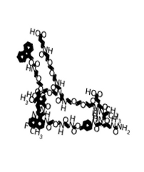 CC[C@@]1(O)C(=O)OCc2c1cc1n(c2=O)Cc2c-1nc1cc(F)c(C)c3c1c2[C@@H](NC(=O)COCNC(=O)CNC(=O)OCc1ccc(NC(=O)[C@H](CCCNC(N)=O)NC(=O)[C@@H](NC(=O)[C@H](CCC(=O)O)NC(=O)CCOCCOCCNC(=O)CN(CCOCCOCCOCCNC(=O)OCC2c4ccccc4-c4ccccc42)CC(=O)NCCOCCOCCC(=O)NCCCC(=O)O)C(C)C)cc1)CC3